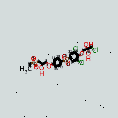 CCS(=O)(=O)C[C@@H](O)COc1ccc(S(=O)(=O)c2cc(Cl)c(OCC(O)(O)CCl)c(Cl)c2)cc1